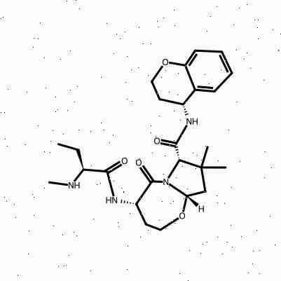 CC[C@H](NC)C(=O)N[C@H]1CCO[C@H]2CC(C)(C)[C@@H](C(=O)N[C@@H]3CCOc4ccccc43)N2C1=O